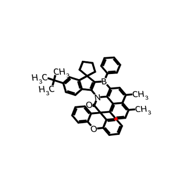 Cc1ccc2c3c4c(cc(C)c13)B(c1ccccc1)C1=C(c3ccc(C(C)(C)C)cc3C13CCCC3)N4C(=O)C21c2ccccc2Oc2ccccc21